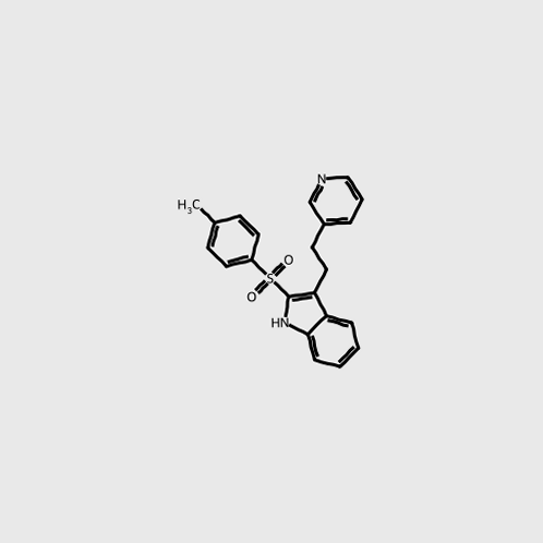 Cc1ccc(S(=O)(=O)c2[nH]c3ccccc3c2CCc2cccnc2)cc1